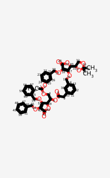 CC(=O)OCC(OC(=O)Cc1cccc(COC2=C(OCc3ccccc3)C(=O)OC2C2COC(C)(C)O2)c1)C1OC(=O)C(OCc2ccccc2)=C1OCc1ccccc1